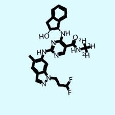 [2H]C([2H])([2H])NC(=O)c1cnc(Nc2cc3c(cnn3CCC(F)F)cc2C)nc1N[C@H]1c2ccccc2C[C@H]1O